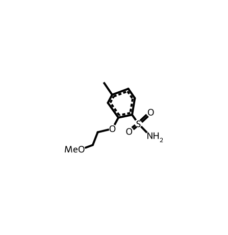 COCCOc1cc(C)ccc1S(N)(=O)=O